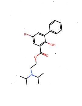 CC(C)N(CCOC(=O)c1cc(Br)cc(-c2ccccc2)c1O)C(C)C